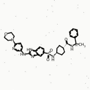 C[C@@H](NC(=O)[C@H]1CC[C@H](NS(=O)(=O)c2ccc3[nH]c(Nc4ccc(N5CCOCC5)nc4)nc3c2)CC1)c1ccccc1